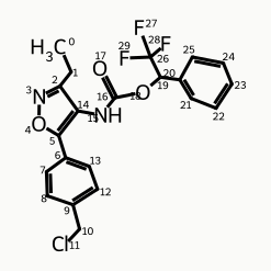 CCc1noc(-c2ccc(CCl)cc2)c1NC(=O)OC(c1ccccc1)C(F)(F)F